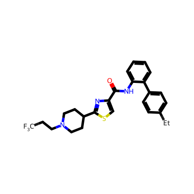 CCc1ccc(-c2ccccc2NC(=O)c2csc(C3CCN(CCC(F)(F)F)CC3)n2)cc1